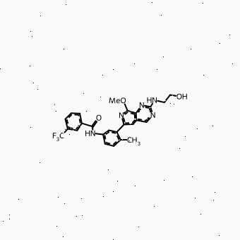 COc1nc(-c2cc(NC(=O)c3cccc(C(F)(F)F)c3)ccc2C)cc2cnc(NCCO)nc12